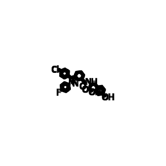 O=C(O)C(Cc1ccc(O)cc1)NC(=O)C1CCCc2c1nn(-c1ccc(F)cc1)c2-c1ccc(Cl)cc1